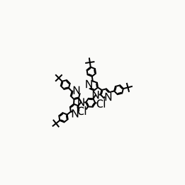 CC(C)(C)c1ccc(-c2cc3c4cc(-c5ccc(C(C)(C)C)cc5)ncc4n(-c4cc(-n5c6cnc(-c7ccc(C(C)(C)C)cc7)cc6c6cc(-c7ccc(C(C)(C)C)cc7)ncc65)c(Cl)cc4Cl)c3cn2)cc1